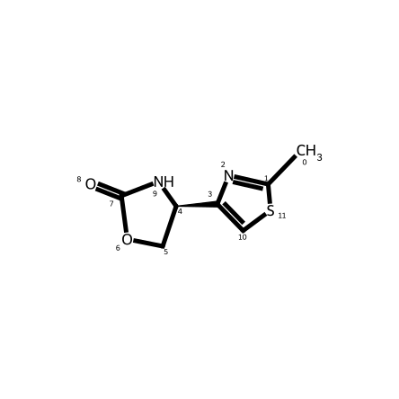 Cc1nc([C@H]2COC(=O)N2)cs1